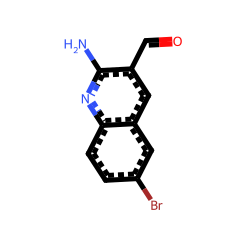 Nc1nc2ccc(Br)cc2cc1C=O